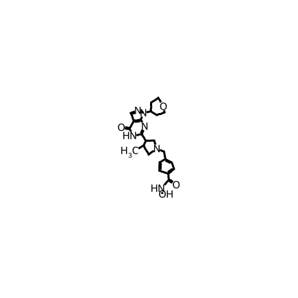 CC1CN(Cc2ccc(C(=O)NO)cc2)CC1c1nc2c(cnn2C2CCOCC2)c(=O)[nH]1